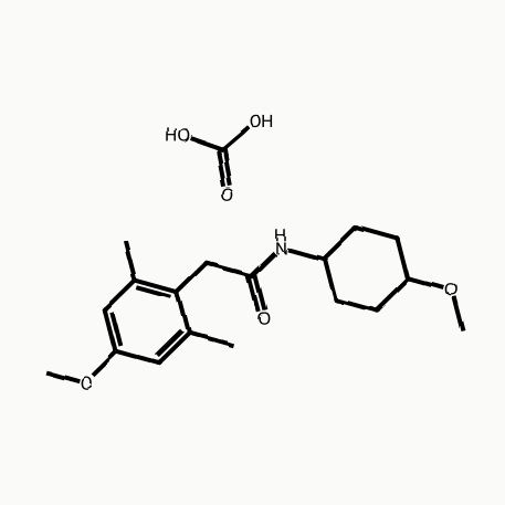 COc1cc(C)c(CC(=O)NC2CCC(OC)CC2)c(C)c1.O=C(O)O